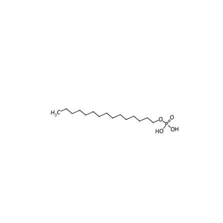 CCCCCCCCCCCCCCCOP(=O)(O)O